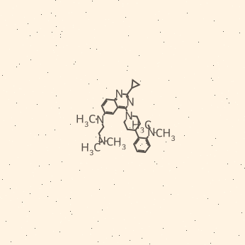 CN(C)CCN(C)c1ccc2nc(C3CC3)nc(N3CCC(c4ccccc4N(C)C)CC3)c2c1